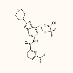 Cc1cc(NC(=O)c2cccc(C(F)F)n2)cn2cc(C3CCOCC3)nc12.O=C(O)C(F)(F)F